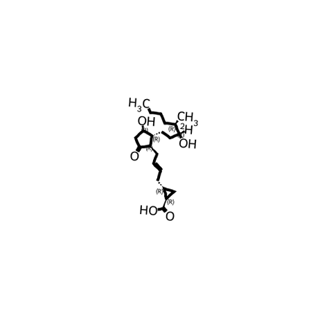 [2H][C@@](O)(CC[C@H]1[C@H](O)CC(=O)[C@@H]1CC=CC[C@@H]1C[C@H]1C(=O)O)[C@H](C)CCCC